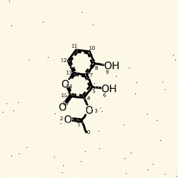 CC(=O)Oc1c(O)c2c(O)cccc2oc1=O